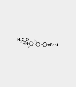 C=CC(=O)Nc1ccc(-c2ccc(-c3ccc(CCCCC)cc3)cc2F)cc1F